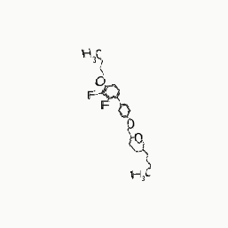 CCCCOc1ccc(-c2ccc(OCC3CCC(CCCC)CO3)cc2)c(F)c1F